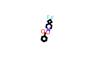 O=C(ON1CCC2(CC1)CC(F)(F)C2)c1ccccc1